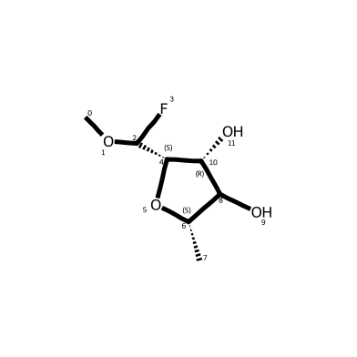 COC(F)[C@H]1O[C@@H](C)C(O)[C@H]1O